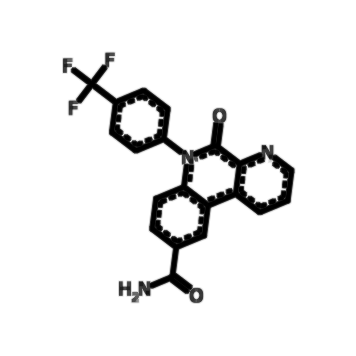 NC(=O)c1ccc2c(c1)c1cccnc1c(=O)n2-c1ccc(C(F)(F)F)cc1